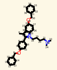 Cc1c(-c2ccc(OCc3ccccc3)cc2)n(CCCCN(C)C)c2ccc(OCc3ccccc3)cc12